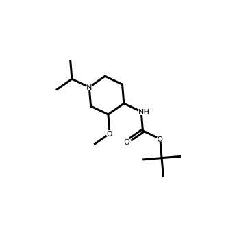 COC1CN(C(C)C)CCC1NC(=O)OC(C)(C)C